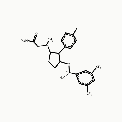 CNC(=O)CN(C)C1CCC(O[C@@H](C)c2cc(C(F)(F)F)cc(C(F)(F)F)c2)C1c1ccc(F)cc1